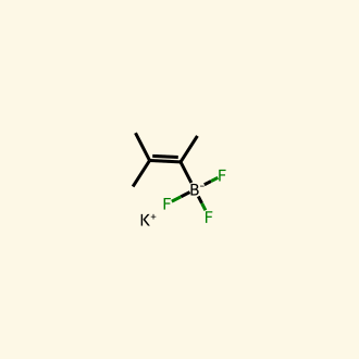 CC(C)=C(C)[B-](F)(F)F.[K+]